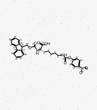 O=C(N[C@@H](CCCCCNC(=O)Oc1ccc([N+](=O)[O-])cc1)C(=O)O)OCC1c2ccccc2-c2ccccc21